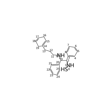 SN[C@H](c1ccccc1)[C@H](NCCCC1=CCC=CC1)c1ccccc1